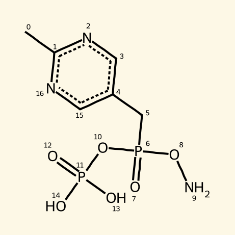 Cc1ncc(CP(=O)(ON)OP(=O)(O)O)cn1